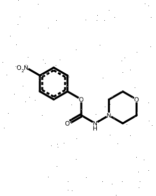 O=C(NN1CCOCC1)Oc1ccc([N+](=O)[O-])cc1